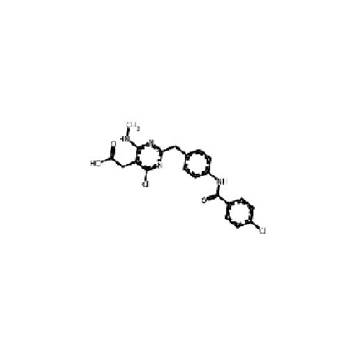 CNc1nc(Cc2ccc(NC(=O)c3ccc(Cl)cc3)cc2)nc(Cl)c1CC(=O)O